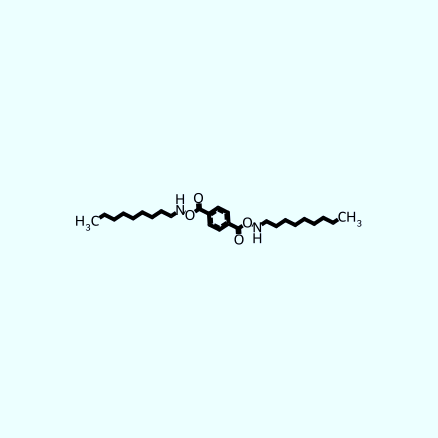 CCCCCCCCCNOC(=O)c1ccc(C(=O)ONCCCCCCCCC)cc1